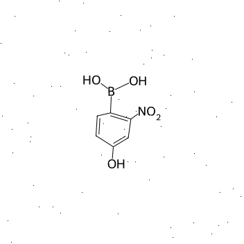 O=[N+]([O-])c1cc(O)ccc1B(O)O